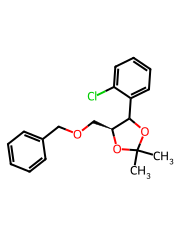 CC1(C)OC(c2ccccc2Cl)[C@H](COCc2ccccc2)O1